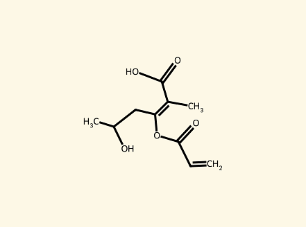 C=CC(=O)OC(CC(C)O)=C(C)C(=O)O